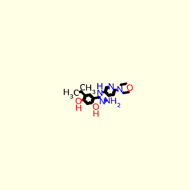 CC(C)c1cc(/C(=N/N)Nc2ccc(N3CCOCC3)nc2)c(O)cc1O